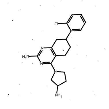 Nc1nc2c(c(N3CCC(N)C3)n1)CCC(c1ccccc1Cl)C2